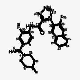 CC1CCN(C(=N)c2ccc(NC(=O)c3nnnn3-c3cc4ccccc4cc3F)c(F)c2)CC1